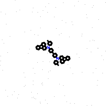 Cc1cccc(N(c2ccc(-c3ccc(N(c4cccc(C)c4)c4ccc5c6c(cccc46)-c4ccccc4-5)cc3)cc2)c2ccc3c4c(cccc24)-c2ccccc2-3)c1